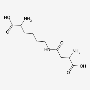 NC(CCCCNC(=O)CC(N)C(=O)O)C(=O)O